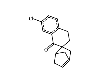 O=C1c2cc(Cl)ccc2CCC12CC1=CCC2C1